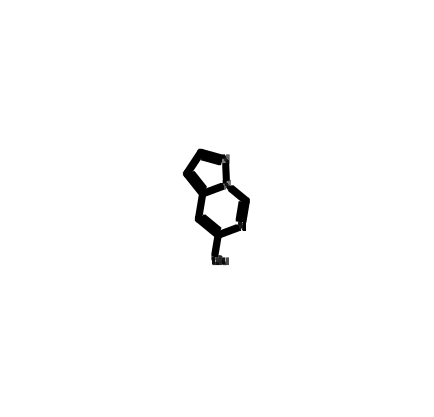 CC(C)(C)c1cc2ccnn2cn1